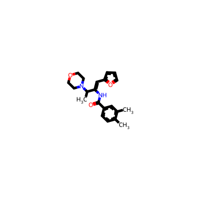 Cc1ccc(C(=O)N/C(=C\c2ccco2)C(C)N2CCOCC2)cc1C